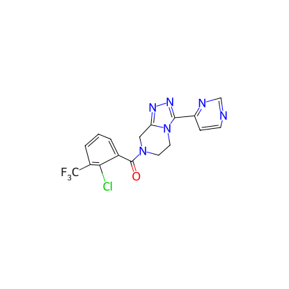 O=C(c1cccc(C(F)(F)F)c1Cl)N1CCn2c(nnc2-c2ccncn2)C1